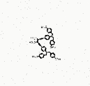 COc1ccc(CN(Cc2ccc(OC)cc2)c2ccc(C#CC(C(=O)O)=C(C#Cc3ccc(N(Cc4ccc(OC)cc4)Cc4ccc(OC)cc4)cc3)C(=O)O)cc2)cc1